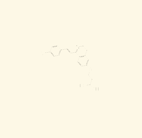 CC(C)CCOc1ccc2c(c1)CCN=C2C=Cc1ccc(Cl)cc1